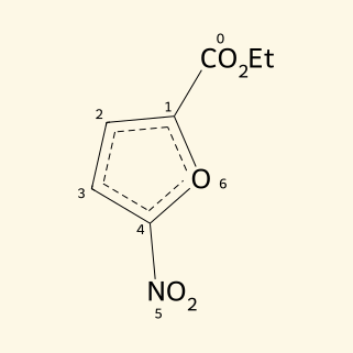 C[CH]OC(=O)c1ccc([N+](=O)[O-])o1